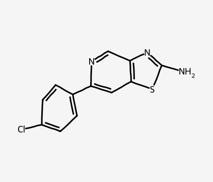 Nc1nc2cnc(-c3ccc(Cl)cc3)cc2s1